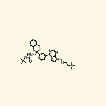 CC(C)(C)OC(=O)NCC1(c2cccc(-c3ncnc4c3ccn4COCCS(C)(C)C)c2)CCc2ccccc2C1